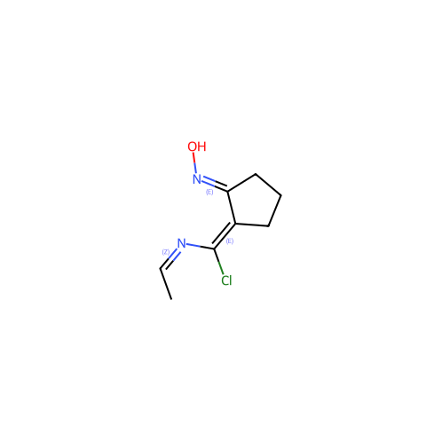 C\C=N/C(Cl)=C1/CCC/C1=N\O